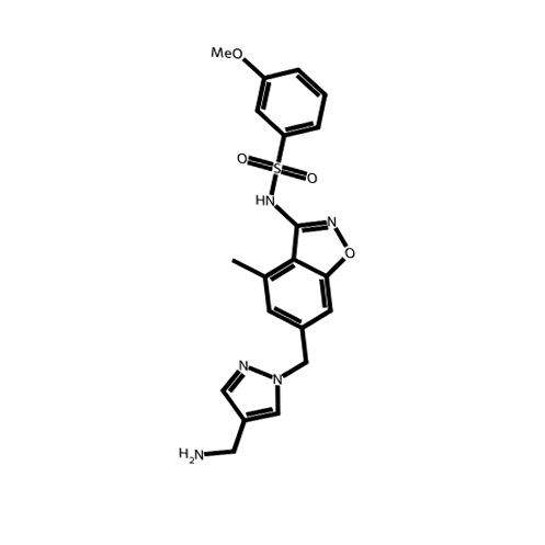 COc1cccc(S(=O)(=O)Nc2noc3cc(Cn4cc(CN)cn4)cc(C)c23)c1